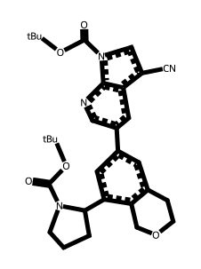 CC(C)(C)OC(=O)N1CCCC1c1cc(-c2cnc3c(c2)c(C#N)cn3C(=O)OC(C)(C)C)cc2c1COCC2